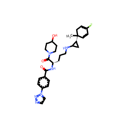 CC1([C@@H]2CC2NCCC[C@H](NC(=O)c2ccc(-n3ccnn3)cc2)C(=O)N2CCC(O)CC2)C=CC(F)=CC1